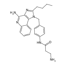 CCCCc1nc2c(N)nc3ccccc3c2n1Cc1ccc(NC(=O)CCN)cc1